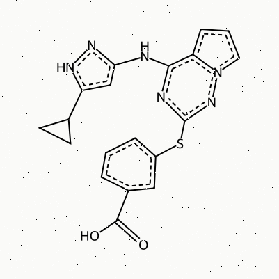 O=C(O)c1cccc(Sc2nc(Nc3cc(C4CC4)[nH]n3)c3cccn3n2)c1